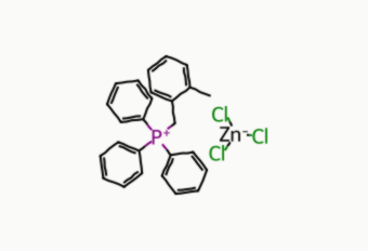 Cc1ccccc1C[P+](c1ccccc1)(c1ccccc1)c1ccccc1.[Cl][Zn-]([Cl])[Cl]